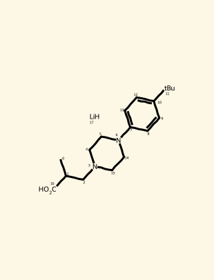 CC(CN1CCN(c2ccc(C(C)(C)C)cc2)CC1)C(=O)O.[LiH]